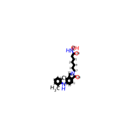 Cc1cccc(C)c1Nc1ccc2c(c1)CN(CCCCCCC(=O)NO)C2=O